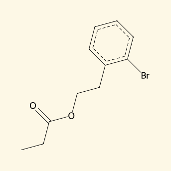 CCC(=O)OCCc1ccccc1Br